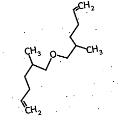 C=CCCC(C)COCC(C)CCC=C